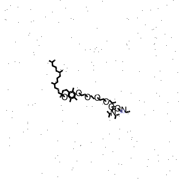 CC/N=C/OP(OC(C)COCCOCCOCCOc1c(C)c(C)c2c(c1C)CCC(C)(CCCC(C)CCCC(C)CCCC(C)C)O2)N(C(C)C)C(C)C